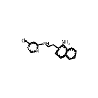 Nc1c(CCNc2cc(Cl)ncn2)ccc2ccccc12